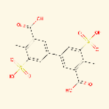 Cc1c(C(=O)O)cc(-c2cc(C(=O)O)c(C)c(S(=O)(=O)O)c2)cc1S(=O)(=O)O